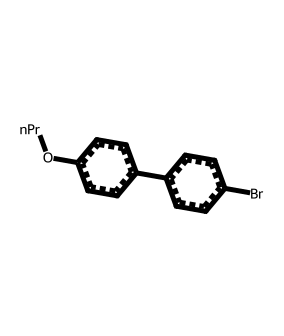 [CH2]CCOc1ccc(-c2ccc(Br)cc2)cc1